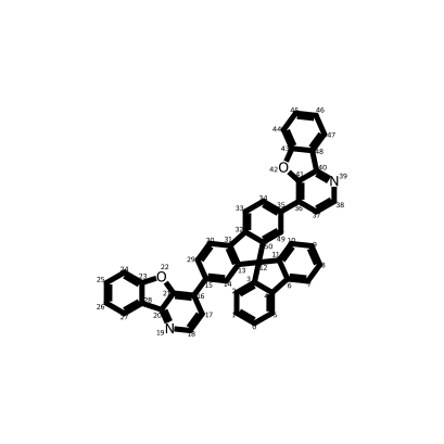 c1ccc2c(c1)-c1ccccc1C21c2cc(-c3ccnc4c3oc3ccccc34)ccc2-c2ccc(-c3ccnc4c3oc3ccccc34)cc21